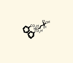 CCC(O)(CC)CCO.O=C(O)c1ccccc1.O=C(O)c1ccccc1